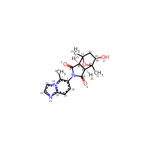 Cc1c(N2C(=O)[C@@H]3[C@H](C2=O)C2(C)OC3(C)C[C@H]2O)ccc2nccn12